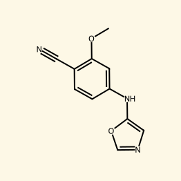 COc1cc(Nc2cnco2)ccc1C#N